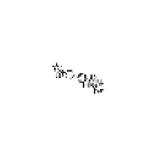 CC(C)(C)OC(=O)N1CCC(c2ccc(C(=O)Nc3ncccn3)cc2)CC1